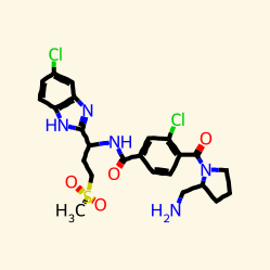 CS(=O)(=O)CCC(NC(=O)c1ccc(C(=O)N2CCCC2CN)c(Cl)c1)c1nc2cc(Cl)ccc2[nH]1